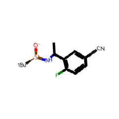 CC(N[S@+]([O-])C(C)(C)C)c1cc(C#N)ccc1F